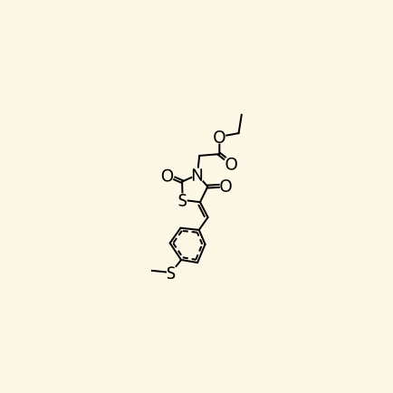 CCOC(=O)CN1C(=O)S/C(=C\c2ccc(SC)cc2)C1=O